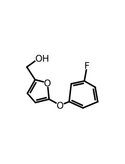 OCc1ccc(Oc2cccc(F)c2)o1